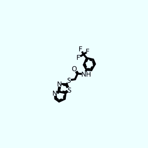 O=C(CSc1nc2ncccc2s1)Nc1cccc(C(F)(F)F)c1